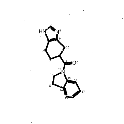 O=C(C1CCc2[nH]cnc2C1)N1CCc2ccccc21